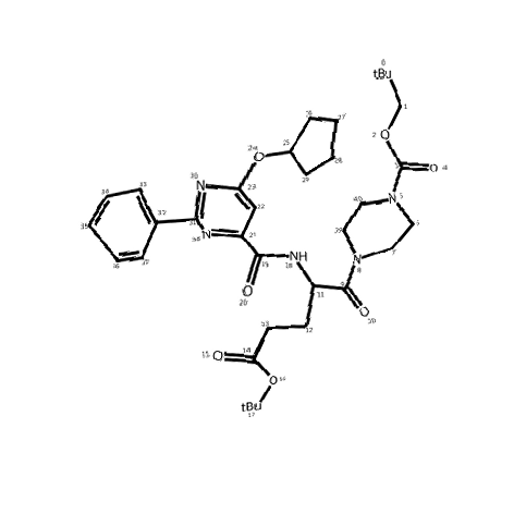 CC(C)(C)COC(=O)N1CCN(C(=O)C(CCC(=O)OC(C)(C)C)NC(=O)c2cc(OC3CCCC3)nc(-c3ccccc3)n2)CC1